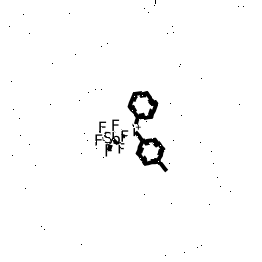 Cc1ccc([I+]c2ccccc2)cc1.[F][Sb-]([F])([F])([F])([F])[F]